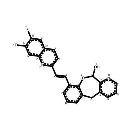 OC1Oc2c(C=Cc3ccc4cc(F)c(F)cc4n3)cccc2Cc2cccnc21